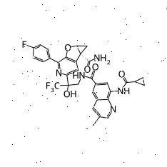 Cc1cnc2c(NC(=O)C3CC3)cc(C(=O)NCC(O)(c3cc4c(c(-c5ccc(F)cc5)n3)OC3C[C@@]43C(N)=O)C(F)(F)F)cc2c1